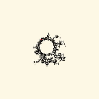 CCCCC[C@@H]1NC(=O)[C@H](CCCCN)NC(=O)[C@H](CCCNC(=N)N)NC(=O)[C@H](CC(C)C)NC(=O)C(NC(=O)[C@H](CCSC)NC(=O)[C@@H]2CCCN2C(=O)[C@@H](NC(C)=O)C(C)C)CCSSC[C@@H](C(=O)NC(CCCCN)C(=O)N2CCC[C@H]2C(=O)N2CCC[C@H]2C(=O)N[C@@H](CCC(=O)O)C(N)=O)NC(=O)[C@H](Cc2ccccc2)NC(=O)[C@H](CO)NC(=O)C(C)(C)NC(=O)[C@@H]2CCCN2C1=O